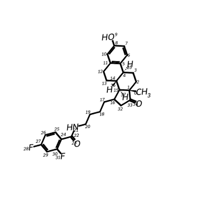 C[C@]12CC[C@@H]3c4ccc(O)cc4CC[C@H]3[C@@H]1C(CCCCNC(=O)c1ccc(F)cc1F)CC2=O